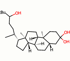 CC(CCC(O)C(C)(C)C)[C@H]1CC[C@H]2[C@@H]3CC[C@H]4CC(O)(O)CC[C@]4(C)[C@H]3CC[C@]12C